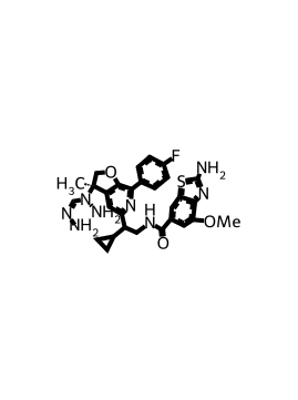 COc1cc(C(=O)NCC(c2cc3c(c(-c4ccc(F)cc4)n2)OC[C@]3(C)N(N)/C=N\N)C2CC2)cc2sc(N)nc12